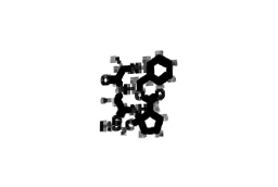 CCOC(=O)C1(NC(=O)[C@H](C)NC(=O)[C@H](C)N)CCCC1C(=O)OCc1ccccc1